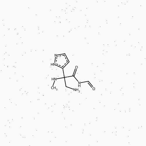 CNC(CN)(C(=O)NC=O)c1ccn[nH]1